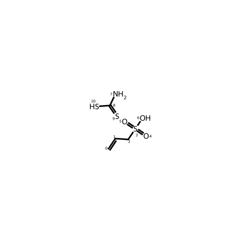 C=CCS(=O)(=O)O.NC(=S)S